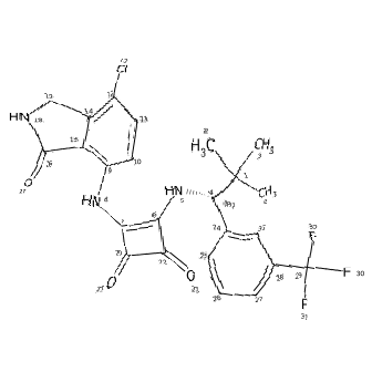 CC(C)(C)[C@@H](Nc1c(Nc2ccc(Cl)c3c2C(=O)NC3)c(=O)c1=O)c1cccc(C(F)(F)F)c1